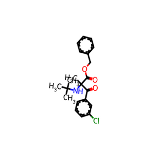 CC(C)(C)NC(C)(C(=O)OCc1ccccc1)C(=O)c1cccc(Cl)c1